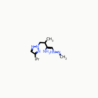 C=NNC=C(N)C(C)Cn1ncc(C(C)C)n1